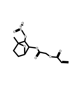 C=CC(=O)OCC(=O)OC1C2CCC(C)(O2)C1O[SH](=O)=O